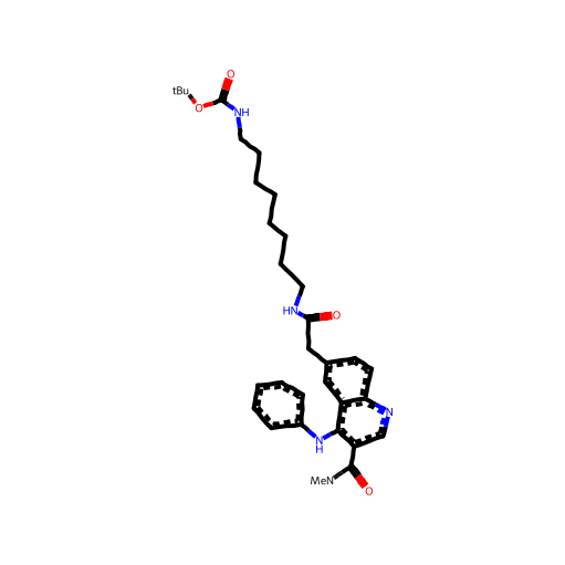 CNC(=O)c1cnc2ccc(CC(=O)NCCCCCCCCNC(=O)OC(C)(C)C)cc2c1Nc1ccccc1